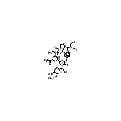 C[C@@H](O)[C@H](NC(=O)[C@@H]1CCCN1C(=O)[C@@H]1CCCN1C(=O)[C@@H](N)CS)C(=O)N[C@@H](CCC(N)=O)C(=O)N[C@@H](Cc1ccccc1)C(=O)N[C@@H](CS)C(=O)N[C@@H](CC(=O)O)C(N)=O